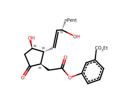 CCCCC[C@H](O)C=C[C@H]1[C@H](O)CC(=O)[C@@H]1CC(=O)Oc1cccc(C(=O)OCC)c1